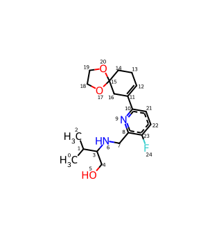 CC(C)C(CO)NCc1nc(C2=CCCC3(C2)OCCO3)ccc1F